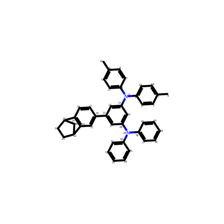 Cc1ccc(N(c2ccc(C)cc2)c2cc(-c3ccc4c(c3)C3CCC4C3)cc(N(c3ccccc3)c3ccccc3)c2)cc1